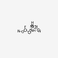 CN(C)CCOc1cc(F)cc(-c2cccc3[nH]c(-c4n[nH]c5cnc(-c6ccncc6)cc45)cc23)c1